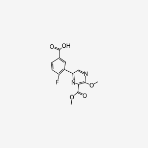 COC(=O)c1nc(-c2cc(C(=O)O)ccc2F)cnc1OC